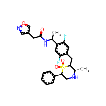 CC(NC(=O)Cc1cnoc1)c1cc(F)c(CC2[C@H](C)NC[C@@H](c3ccccc3)S2(=O)=O)cc1F